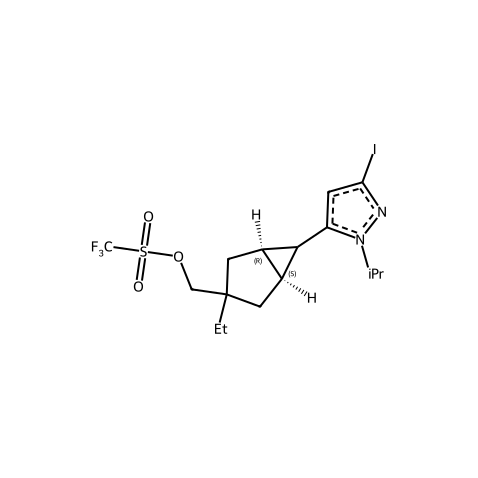 CCC1(COS(=O)(=O)C(F)(F)F)C[C@@H]2C(c3cc(I)nn3C(C)C)[C@@H]2C1